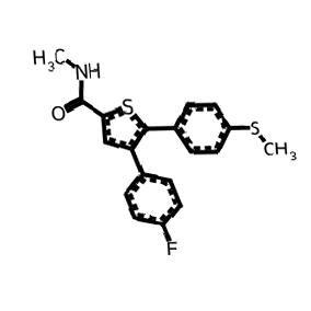 CNC(=O)c1cc(-c2ccc(F)cc2)c(-c2ccc(SC)cc2)s1